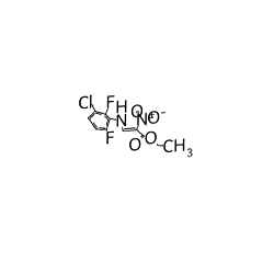 CCOC(=O)C(=CNc1c(F)ccc(Cl)c1F)[N+](=O)[O-]